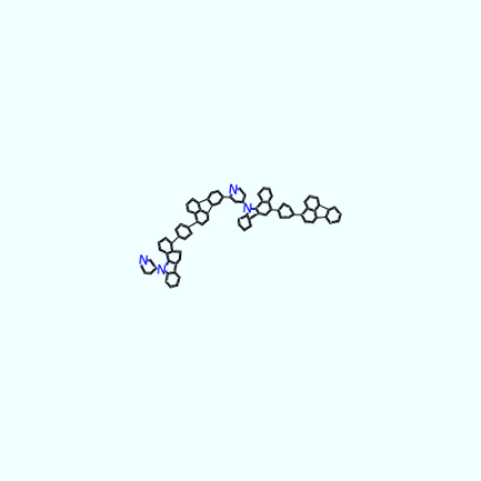 c1cncc(-n2c3ccccc3c3ccc4c(-c5ccc(-c6ccc7c8c(cccc68)-c6ccc(-c8cc(-n9c%10ccccc%10c%10cc(-c%11ccc(-c%12ccc%13c%14c(cccc%12%14)-c%12ccccc%12-%13)cc%11)c%11ccccc%11c%109)ccn8)cc6-7)cc5)cccc4c32)c1